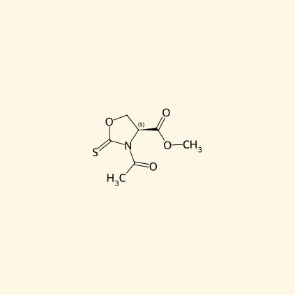 COC(=O)[C@@H]1COC(=S)N1C(C)=O